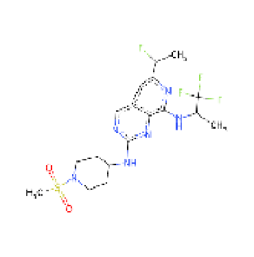 CC(F)c1cc2cnc(NC3CCN(S(C)(=O)=O)CC3)nc2c(NC(C)C(F)(F)F)n1